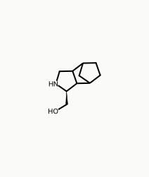 OC[C@H]1NCC2C3CCC(C3)C21